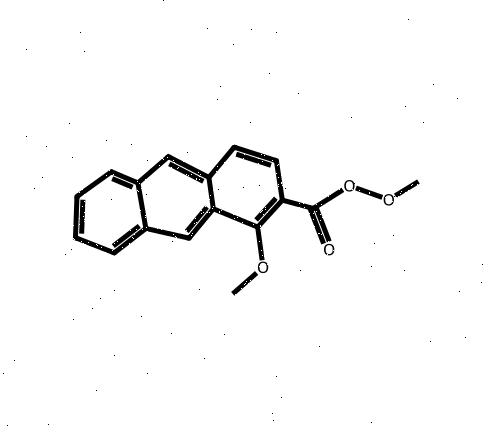 COOC(=O)c1ccc2cc3ccccc3cc2c1OC